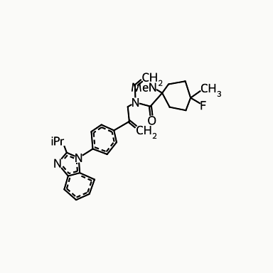 C=CN(CC(=C)c1ccc(-n2c(C(C)C)nc3ccccc32)cc1)C(=O)C1(NC)CCC(C)(F)CC1